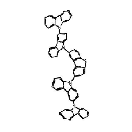 c1ccc2c(c1)c1ccccc1n2-c1ccc2c(c1)c1ccccc1n2-c1ccc2sc3ccc(-n4c5ccccc5c5cc(-n6c7ccccc7c7ccccc76)ccc54)cc3c2c1